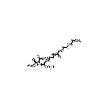 COC(=O)C(NC(CCCCNC(=O)COCCOCCN)C(=O)O)C(=O)OC